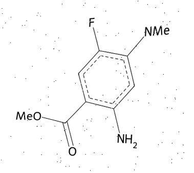 CNc1cc(N)c(C(=O)OC)cc1F